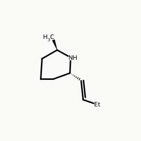 CCC=C[C@@H]1CCC[C@@H](C)N1